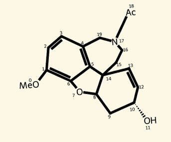 COc1ccc2c3c1OC1C[C@@H](O)C=CC31CCN(C(C)=O)C2